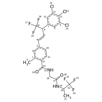 Cc1cc(/C=C/C(c2cc(Cl)c(Cl)c(Cl)c2)C(F)(F)F)ccc1C(=O)NCC(=O)NC(C)C(F)(F)F